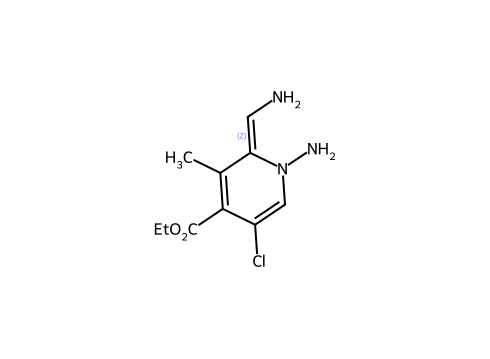 CCOC(=O)C1=C(C)/C(=C/N)N(N)C=C1Cl